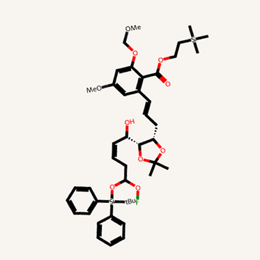 COCOc1cc(OC)cc(/C=C/C[C@@H]2OC(C)(C)O[C@@H]2C(O)/C=C\CC(OF)O[Si](c2ccccc2)(c2ccccc2)C(C)(C)C)c1C(=O)OCC[Si](C)(C)C